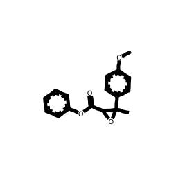 COc1ccc(C2(C)OC2C(=O)Oc2ccccc2)cc1